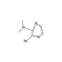 CN(C)c1nccnc1C#N